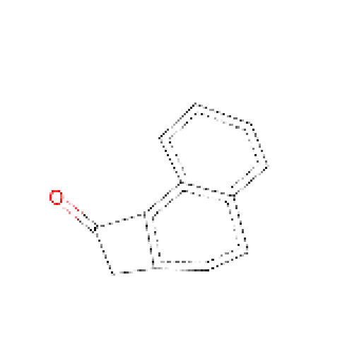 O=C1Cc2ccc3ccccc3c21